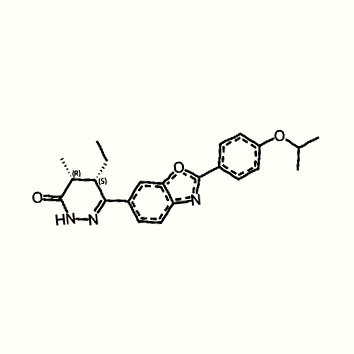 CC[C@@H]1C(c2ccc3nc(-c4ccc(OC(C)C)cc4)oc3c2)=NNC(=O)[C@@H]1C